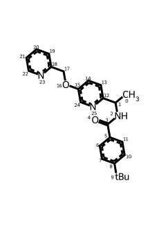 CC(NC(=O)c1ccc(C(C)(C)C)cc1)c1ccc(OCc2ccccn2)cn1